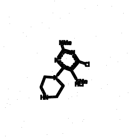 CNc1nc(Cl)c(SC)c(N2CCNCC2)n1.Cl